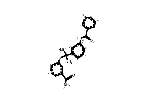 BC(B)(Oc1cncc(C(N)=O)c1)c1cccc(NC(=O)c2cccnc2)c1